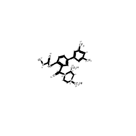 Cc1cc(-c2ccc(NC(=O)OC(C)(C)C)c(C(=O)N3CCN(C(=O)O)C[C@H]3C(=O)O)c2)cc(C(F)(F)F)c1